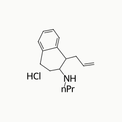 C=CCC1c2ccccc2CCC1NCCC.Cl